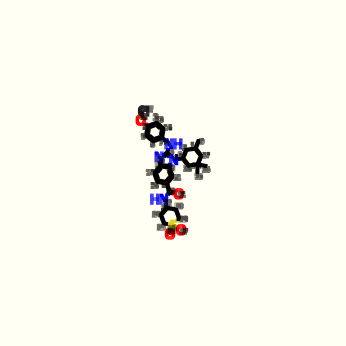 CC1CC(n2c(Nc3ccc(OC(F)(F)F)cc3)nc3ccc(C(=O)NC4CCS(=O)(=O)CC4)cc32)CC(C)(C)C1